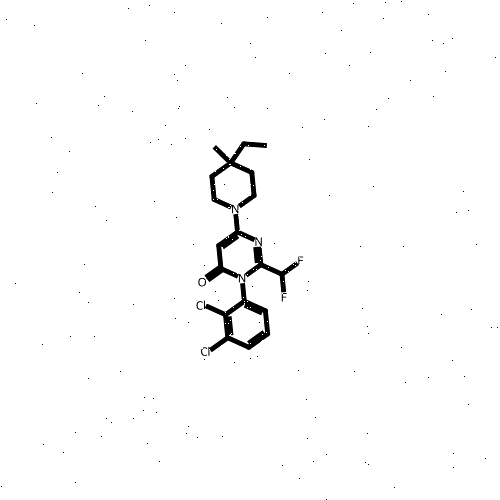 CCC1(C)CCN(c2cc(=O)n(-c3cccc(Cl)c3Cl)c(C(F)F)n2)CC1